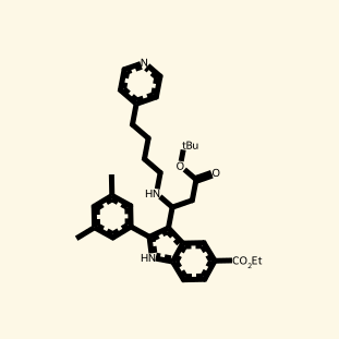 CCOC(=O)c1ccc2[nH]c(-c3cc(C)cc(C)c3)c(C(CC(=O)OC(C)(C)C)NCCCCc3ccncc3)c2c1